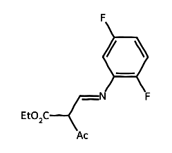 CCOC(=O)C(/C=N/c1cc(F)ccc1F)C(C)=O